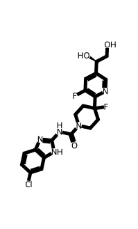 O=C(Nc1nc2ccc(Cl)cc2[nH]1)N1CCC(F)(c2ncc([C@@H](O)CO)cc2F)CC1